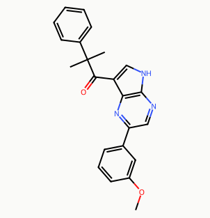 COc1cccc(-c2cnc3[nH]cc(C(=O)C(C)(C)c4ccccc4)c3n2)c1